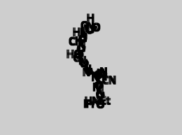 CCC1(C(=O)NC(C)C)CCN(c2ccc(-c3nc(-c4cnn(C5CCN(C(=O)CC6(O)CCN(c7ccc(NC8CCC(=O)NC8=O)cc7Cl)CC6)CC5)c4)cn4ncc(C#N)c34)cn2)CC1